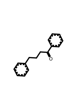 O=C(CCCc1ccccc1)c1cc[c]cc1